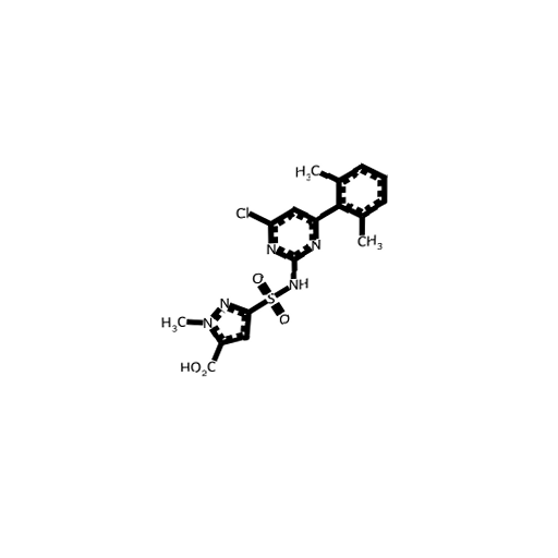 Cc1cccc(C)c1-c1cc(Cl)nc(NS(=O)(=O)c2cc(C(=O)O)n(C)n2)n1